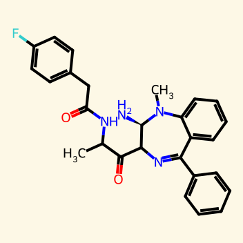 CC(NC(=O)Cc1ccc(F)cc1)C(=O)C1N=C(c2ccccc2)c2ccccc2N(C)[C@@H]1N